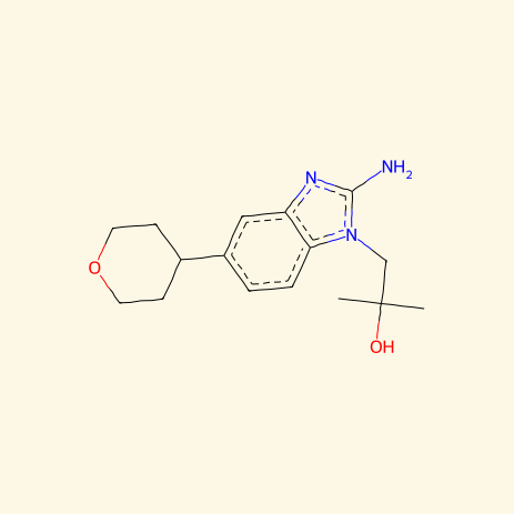 CC(C)(O)Cn1c(N)nc2cc(C3CCOCC3)ccc21